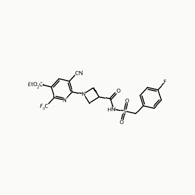 CCOC(=O)c1cc(C#N)c(N2CC(C(=O)NS(=O)(=O)Cc3ccc(F)cc3)C2)nc1C(F)(F)F